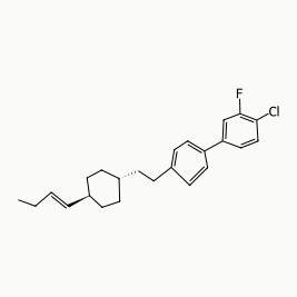 CCC=C[C@H]1CC[C@H](CCc2ccc(-c3ccc(Cl)c(F)c3)cc2)CC1